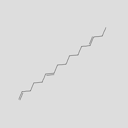 C=CCCCC=CCCCCCC=CCC